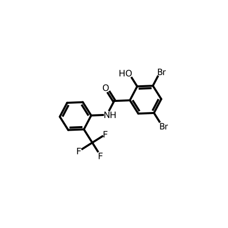 O=C(Nc1ccccc1C(F)(F)F)c1cc(Br)cc(Br)c1O